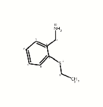 CCSc1ccccc1CN